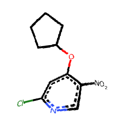 O=[N+]([O-])c1cnc(Cl)cc1OC1CCCC1